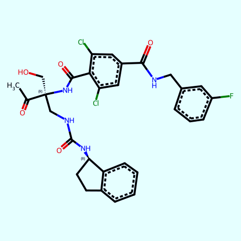 CC(=O)[C@](CO)(CNC(=O)N[C@@H]1CCc2ccccc21)NC(=O)c1c(Cl)cc(C(=O)NCc2cccc(F)c2)cc1Cl